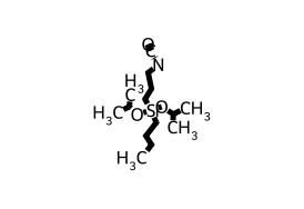 CCCC[Si](CCCN=C=O)(OC(C)C)OC(C)C